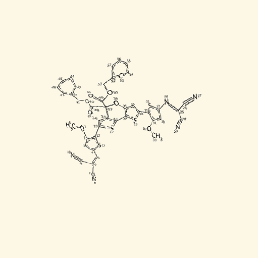 COc1cc(C=C(C#N)C#N)sc1-c1cc2c(s1)-c1sc(-c3sc(N=C(C#N)C#N)cc3OC)cc1OC2(C(=O)OCc1ccccc1)C(=O)OCc1ccccc1